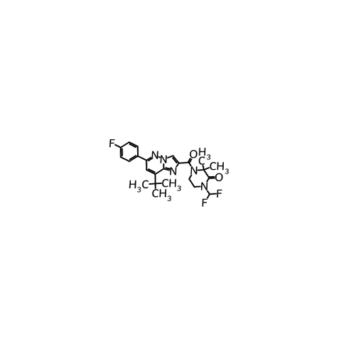 CC(C)(C)c1cc(-c2ccc(F)cc2)nn2cc(C(=O)N3CCN(C(F)F)C(=O)C3(C)C)nc12